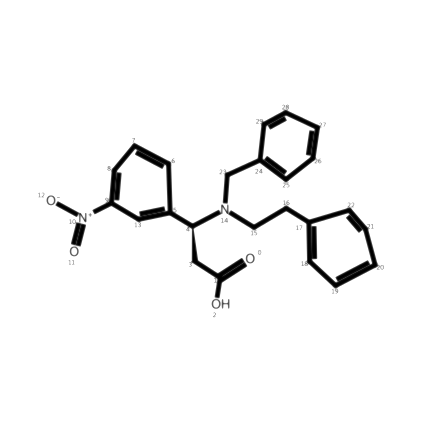 O=C(O)C[C@@H](c1cccc([N+](=O)[O-])c1)N(CCc1ccccc1)Cc1ccccc1